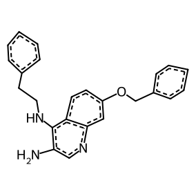 Nc1cnc2cc(OCc3ccccc3)ccc2c1NCCc1ccccc1